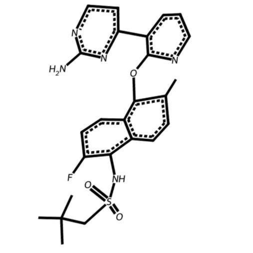 Cc1ccc2c(NS(=O)(=O)CC(C)(C)C)c(F)ccc2c1Oc1ncccc1-c1ccnc(N)n1